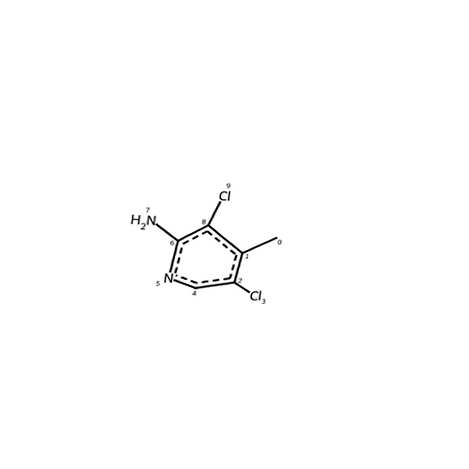 Cc1c(Cl)cnc(N)c1Cl